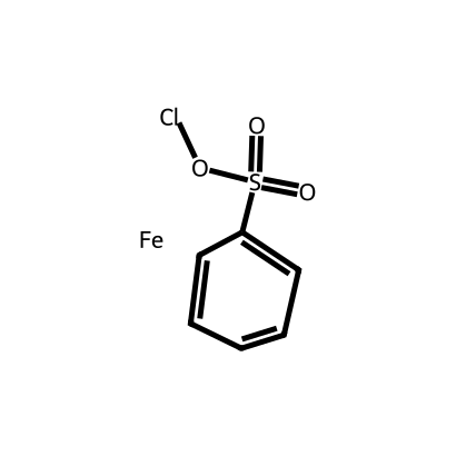 O=S(=O)(OCl)c1ccccc1.[Fe]